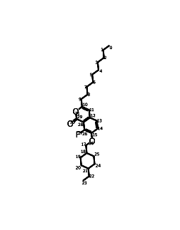 CCCCCCCCCCc1cc2ccc(OCC3CCC(CC)CC3)c(F)c2c(=O)o1